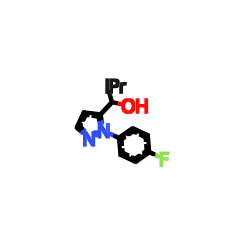 CC(C)C(O)c1ccnn1-c1ccc(F)cc1